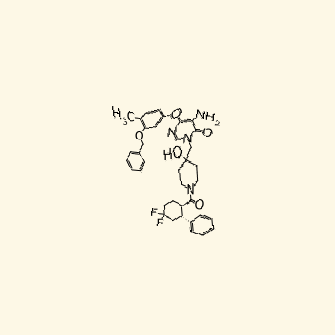 Cc1ccc(Oc2ncn(CC3(O)CCN(C(=O)[C@@H]4CCC(F)(F)C[C@H]4c4ccccc4)CC3)c(=O)c2N)cc1OCc1ccccc1